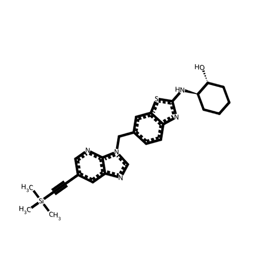 C[Si](C)(C)C#Cc1cnc2c(c1)ncn2Cc1ccc2nc(N[C@@H]3CCCC[C@H]3O)sc2c1